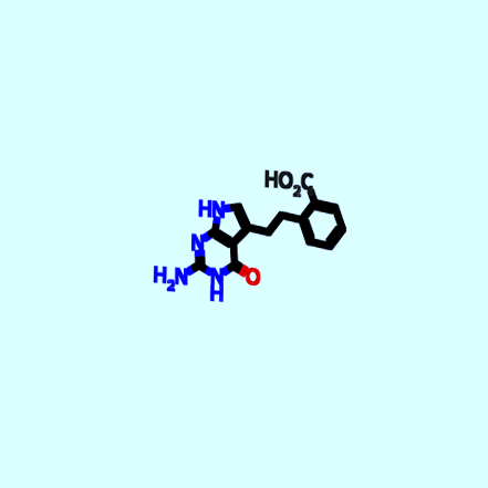 Nc1nc2[nH]cc(CCc3ccccc3C(=O)O)c2c(=O)[nH]1